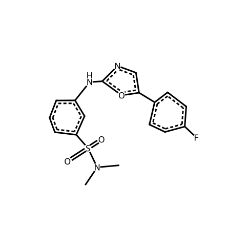 CN(C)S(=O)(=O)c1cccc(Nc2ncc(-c3ccc(F)cc3)o2)c1